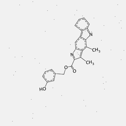 CC1=c2c(cc3c(c2C)N=c2ccccc2=3)N=C1C(=O)OCc1cccc(O)c1